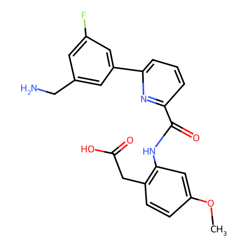 COc1ccc(CC(=O)O)c(NC(=O)c2cccc(-c3cc(F)cc(CN)c3)n2)c1